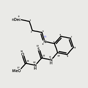 CCCCCCCCCCCC/C=N/c1ccccc1NC(=S)NC(=O)OC